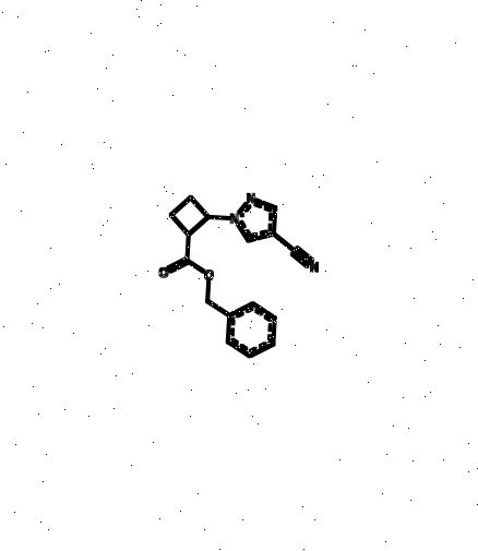 N#Cc1cnn(C2CCC2C(=O)OCc2ccccc2)c1